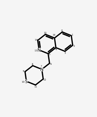 [c]1cccc2c(CN3CCSCC3)nccc12